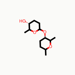 CC1CC[C@@H](OC2CC[C@@H](O)C(C)O2)C(C)O1